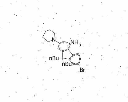 CCCCC1(CCCC)c2cc(Br)ccc2-c2ccc(N3CCCCC3)cc21.N